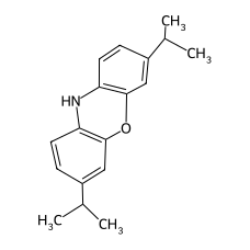 CC(C)c1ccc2c(c1)Oc1cc(C(C)C)ccc1N2